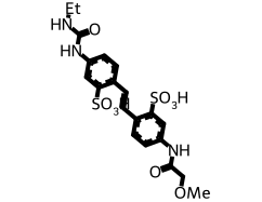 CCNC(=O)Nc1ccc(C=Cc2ccc(NC(=O)COC)cc2S(=O)(=O)O)c(S(=O)(=O)O)c1